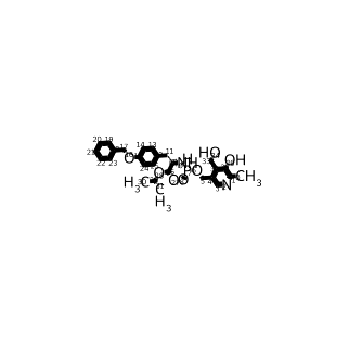 Cc1ncc(CO[PH](=O)N[C@@H](Cc2ccc(OCc3ccccc3)cc2)C(=O)OC(C)C)c(CO)c1O